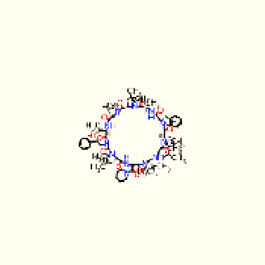 CC[C@H]1C(=O)N[C@@H]([C@@H](C)O)C(=O)N(CCc2ccccc2)C(=O)N(C)[C@@H](CC(C)C)C(=O)N[C@H](C(=O)N2CCCCC2)C(=O)N(C)[C@@H](C(C)C)N[C@@H](CC(C)C)C(=O)N(C)[C@@H](CC)C(=O)N(C)[C@@H](Cc2ccccc2)C(=O)N[C@@H](C)C(=O)N(C)C(CC(C)C)C(=O)N1C